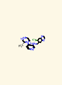 C[C@@H]1CNCCN1c1ccncc1NCc1cc2nccnc2cc1Cl